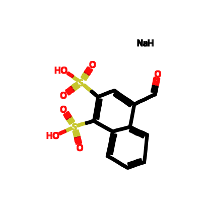 O=Cc1cc(S(=O)(=O)O)c(S(=O)(=O)O)c2ccccc12.[NaH]